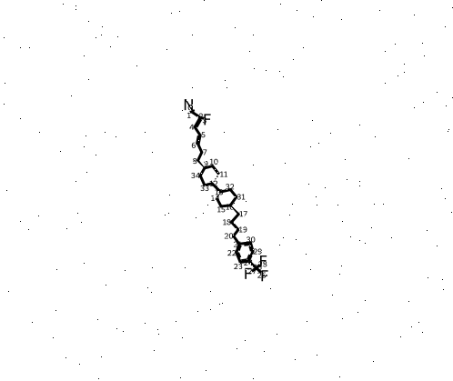 N#CC(F)=CC=CCC[C@H]1CC[C@H]([C@H]2CC[C@H](CCCCc3ccc(C(F)(F)F)cc3)CC2)CC1